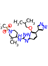 CC(C)COc1c(-c2cn[nH]c2)ccc2nc(N[C@H]3CCN(S(C)(=O)=O)C[C@H]3C)nn12